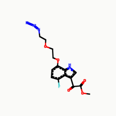 COC(=O)C(=O)c1c[nH]c2c(OCCOCCN=[N+]=[N-])ccc(F)c12